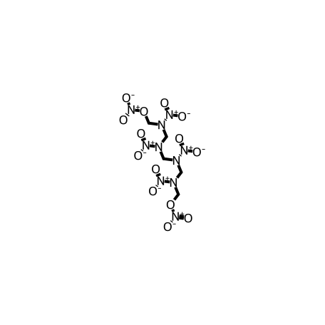 O=[N+]([O-])OCN(CN(CN(CN(CO[N+](=O)[O-])[N+](=O)[O-])[N+](=O)[O-])[N+](=O)[O-])[N+](=O)[O-]